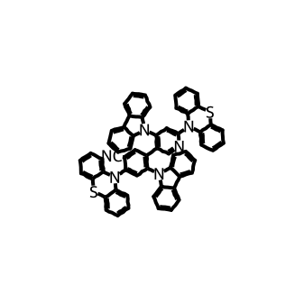 N#Cc1cc(-c2cnc(N3c4ccccc4Sc4ccccc43)cc2-n2c3ccccc3c3ccccc32)c(-n2c3ccccc3c3ccccc32)cc1N1c2ccccc2Sc2ccccc21